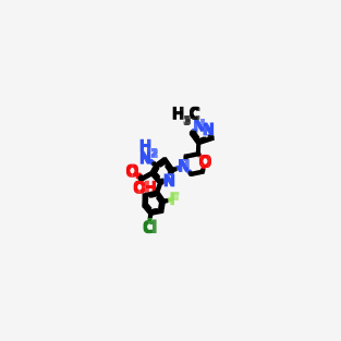 Cn1cc(C2CN(c3cc(N)c(C(=O)O)c(-c4ccc(Cl)cc4F)n3)CCO2)cn1